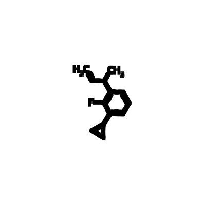 C=C[C](C)c1cccc(C2CC2)c1F